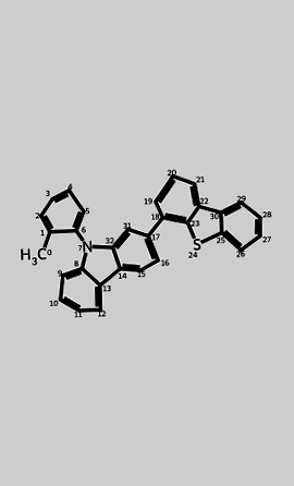 Cc1ccccc1-n1c2ccccc2c2ccc(-c3cccc4c3sc3ccccc34)cc21